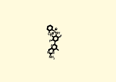 Cc1cc(-c2cc(F)c(NS(=O)(=O)c3ccccc3Cl)c(F)c2F)nc2cnc(N)nc12